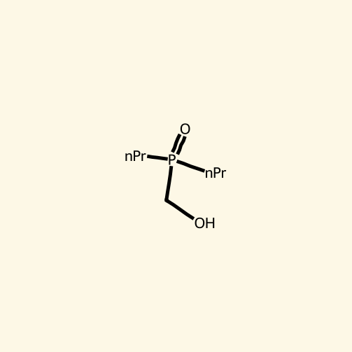 CCCP(=O)(CO)CCC